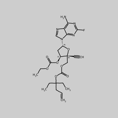 C#C[C@]1(COC(=O)OC(CC)(CC)CC=C)O[C@@H](n2cnc3c(N)nc(F)nc32)C[C@@H]1OC(=O)OCC